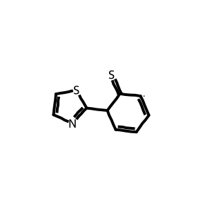 S=C1[C]=CC=CC1c1nccs1